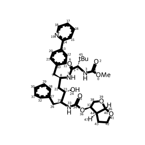 COC(=O)N[C@H](C(=O)N[C@H](Cc1ccc(-c2ccccn2)cc1)C[C@H](O)[C@H](Cc1ccccc1)NC(=O)O[C@H]1CO[C@H]2OCC[C@H]21)C(C)(C)C